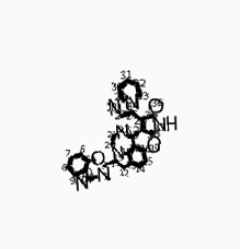 N#C/N=C(\Oc1ccccc1)C1Cc2cccc3c2N1C=CN=C3C1=C(c2cnc3ccccn23)C(=O)NC1=O